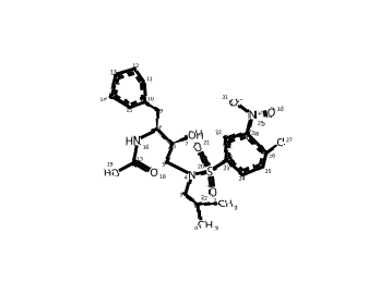 CC(C)CN(C[C@H](O)[C@H](Cc1ccccc1)NC(=O)O)S(=O)(=O)c1ccc(Cl)c([N+](=O)[O-])c1